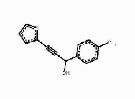 Cc1ccc(C(O)C#Cc2cccs2)cc1